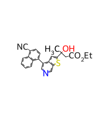 CCOC(=O)CC(C)(O)c1cc2c(-c3ccc(C#N)c4ccccc34)cncc2s1